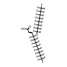 O=C(O)C=CC(F)(OC(F)(F)C(F)(F)C(F)(F)C(F)(F)C(F)(F)C(F)(F)C(F)(F)C(F)(F)F)C(F)(F)C(F)(F)C(F)(F)C(F)(F)C(F)(F)C(F)(F)C(F)(F)F